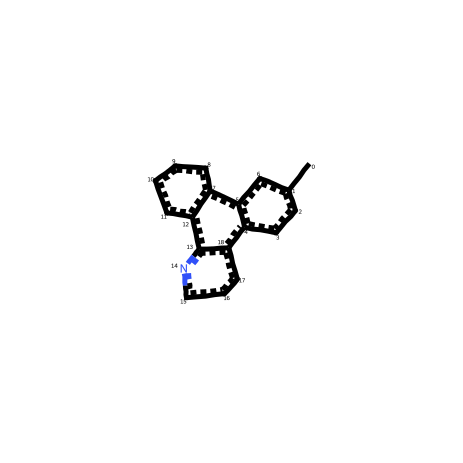 Cc1ccc2c(c1)c1ccccc1c1ncccc21